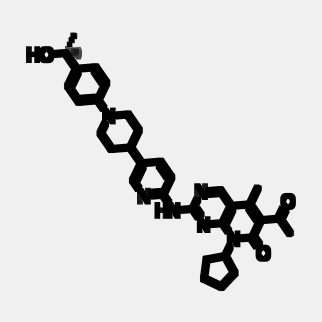 CC(=O)c1c(C)c2cnc(Nc3ccc(C4CCN(c5ccc([C@@H](C)O)cc5)CC4)cn3)nc2n(C2CCCC2)c1=O